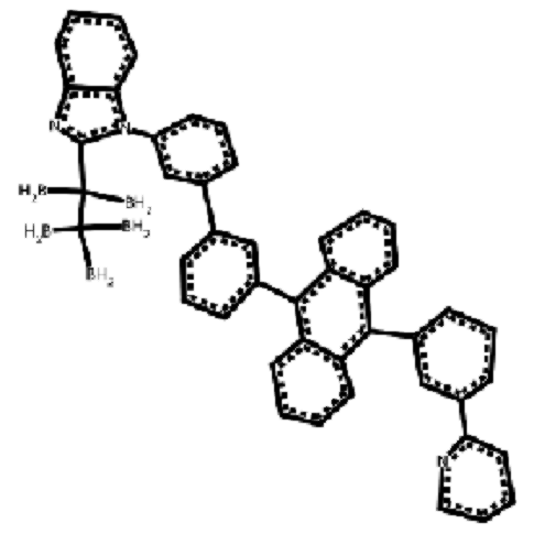 BC(B)(B)C(B)(B)c1nc2ccccc2n1-c1cccc(-c2cccc(-c3c4ccccc4c(-c4cccc(-c5ccccn5)c4)c4ccccc34)c2)c1